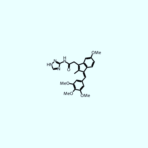 COc1ccc2c(c1)C(CC(=O)Nc1nc[nH]n1)=C(C)C2=Cc1cc(OC)c(OC)c(OC)c1